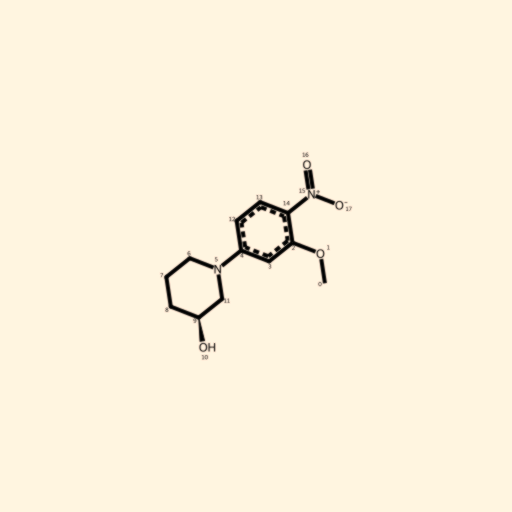 COc1cc(N2CCC[C@H](O)C2)ccc1[N+](=O)[O-]